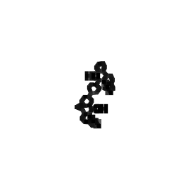 OC(c1c(-c2ccccc2)ccc2cncn12)C1CCC(C2CCCC(C(O)c3c(C4CC4)ccc4cncn34)C2)CC1